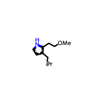 COCCc1[nH]ccc1CC(C)C